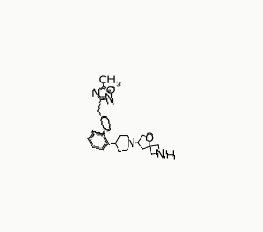 Cc1nc(COc2ccccc2C2CCN([C@@H]3COC4(CNC4)C3)CC2)no1